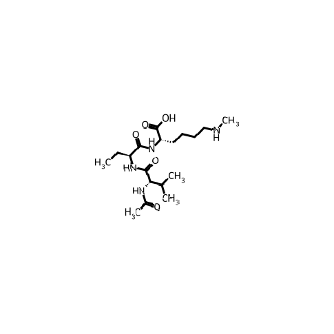 CC[C@H](NC(=O)[C@@H](NC(C)=O)C(C)C)C(=O)N[C@@H](CCCCNC)C(=O)O